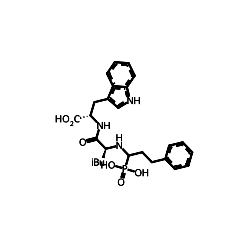 CCC(C)[C@H](NC(CCc1ccccc1)P(=O)(O)O)C(=O)N[C@@H](Cc1c[nH]c2ccccc12)C(=O)O